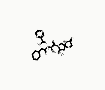 CC(C)(C)C(NC(=O)[C@@H](NC(=O)c1cnccn1)C1CCCCC1)C(=O)N1CC2(CC1C(=O)O)NC(=O)CS2